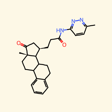 Cc1ccc(NC(=O)CC[C@@H]2CC(=O)[C@@]3(C)CCC4c5ccccc5CCC4C23)nn1